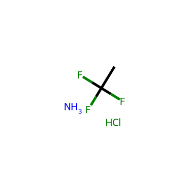 CC(F)(F)F.Cl.N